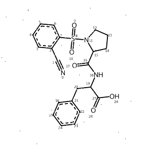 N#Cc1ccccc1S(=O)(=O)N1CCCC1C(=O)NC(Cc1ccccc1)C(=O)O